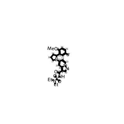 CCN(CC)S(=O)(=O)NC(=O)c1cnn2ccc(N3CCCC3c3cc(F)ccc3OC)cc12